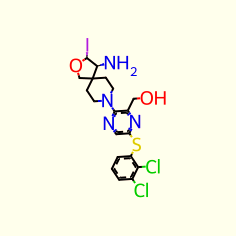 N[C@@H]1[C@H](I)OCC12CCN(c1ncc(Sc3cccc(Cl)c3Cl)nc1CO)CC2